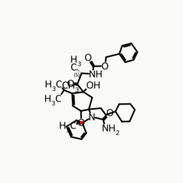 COC1C=C(C(C)(C)C)C(O)(C(=O)[C@H](C)NC(=O)OCc2ccccc2)CC1(CCC1CCCCC1)N(C(N)=O)c1ccccc1